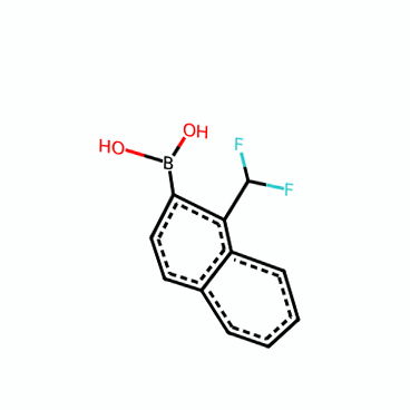 OB(O)c1ccc2ccccc2c1C(F)F